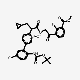 COC(=O)c1cccc(C(=O)COC(=O)C(CC2CC2)c2ccc(-c3cc(Cl)ccc3NC(=O)OC(C)(C)C)c[n+]2[O-])c1F